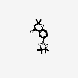 CC1(C)CC(=O)c2cc(B3OC(C)(C)C(C)(C)O3)ccc2O1